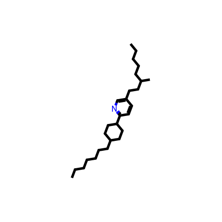 CCCCCCCC1CCC(c2ccc(CCC(C)CCCCC)cn2)CC1